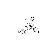 C=CCn1nccc1C[C@@H]1CCc2cc(C(C)(O)C(F)(F)F)ccc2N1S(=O)(=O)c1ccc(F)cc1